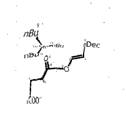 CCCCCCCCCCC=COC(=O)CCC(=O)[O-].CCC[CH2][Sn+]([CH2]CCC)[CH2]CCC